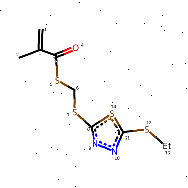 C=C(C)C(=O)SCSc1nnc(SCC)s1